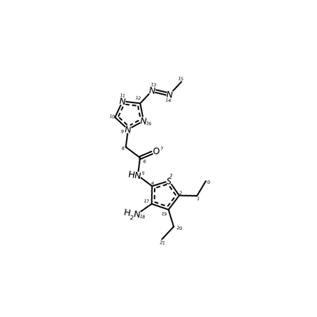 CCc1sc(NC(=O)Cn2cnc(N=NC)n2)c(N)c1CC